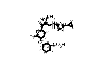 CCc1nc(-c2nnn(C)c2CNc2nc(C3CC3)ns2)ccc1O[C@H]1CCC[C@H](C(=O)O)C1